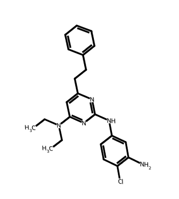 CCN(CC)c1cc(CCc2ccccc2)nc(Nc2ccc(Cl)c(N)c2)n1